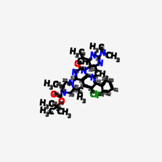 Cc1nc(N(C)C)nc(C(C)C)c1-n1c(=O)nc(N2C[C@@H](C)N(C(=O)OC(C)(C)C)C[C@@H]2C)c2cc(Cl)c(-c3ccccc3F)nc21